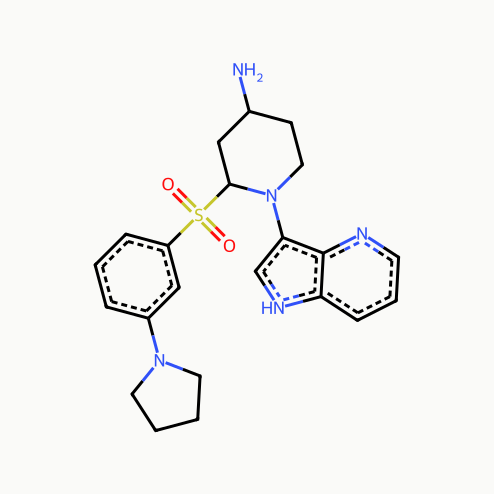 NC1CCN(c2c[nH]c3cccnc23)C(S(=O)(=O)c2cccc(N3CCCC3)c2)C1